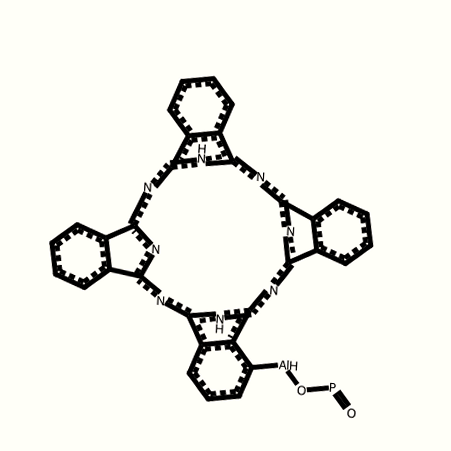 O=P[O][AlH][c]1cccc2c3nc4nc(nc5[nH]c(nc6nc(nc([nH]3)c12)-c1ccccc1-6)c1ccccc51)-c1ccccc1-4